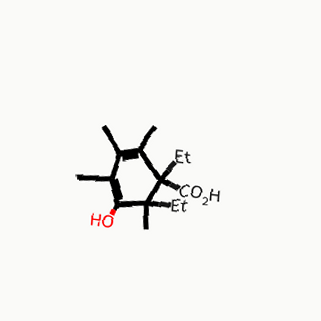 CCC1(C)C(O)=C(C)C(C)=C(C)C1(CC)C(=O)O